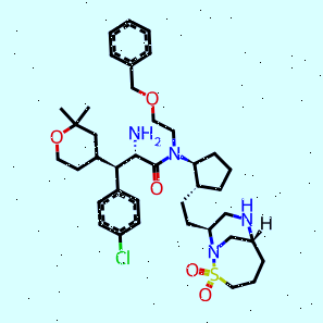 CC1(C)CC([C@H](c2ccc(Cl)cc2)[C@H](N)C(=O)N(CCOCc2ccccc2)[C@H]2CCC[C@@H]2CC[C@H]2CN[C@@H]3CCCS(=O)(=O)N2C3)CCO1